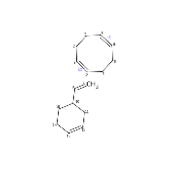 C1=C\CC/C=C\CC/1.C=CC1CC=CCC1